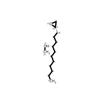 CCCCCCCCCCC[C@H]1CO1.CO